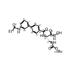 CCC(=O)Nc1cccc(-c2ccc(C(=O)N[C@@H](CNC(=O)OC(C)(C)C)C(=O)NO)cc2)c1